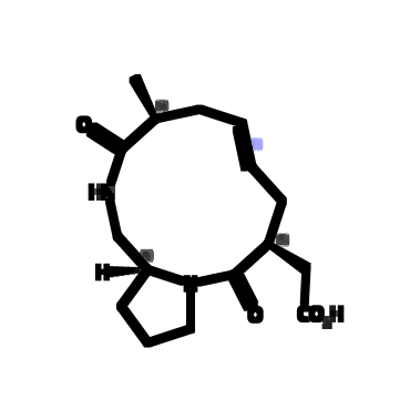 C[C@H]1C/C=C/C[C@@H](CC(=O)O)C(=O)N2CCC[C@H]2CNC1=O